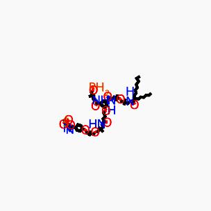 CCCCCCCCC(CCCCCC)C(=O)NCC(C)(C)COC(C)(C)CNC(=O)c1cc(OCCCC(=O)NCC(C)(C)COCC(C)(C)COc2ccc(-c3nnc(S(C)(=O)=O)o3)cc2)cc(C(=O)NCC(C)(C)COP)c1